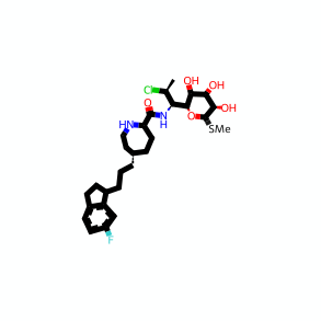 CSC1O[C@H]([C@H](NC(=O)C2CC[C@H](CCCC3CCc4ccc(F)cc43)CCN2)[C@H](C)Cl)C(O)C(O)[C@H]1O